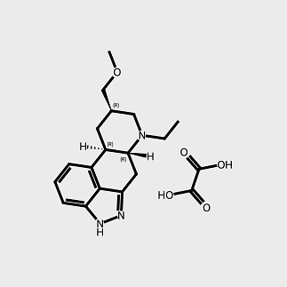 CCN1C[C@H](COC)C[C@@H]2c3cccc4[nH]nc(c34)C[C@H]21.O=C(O)C(=O)O